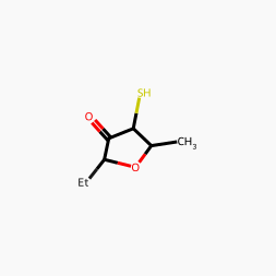 CCC1OC(C)C(S)C1=O